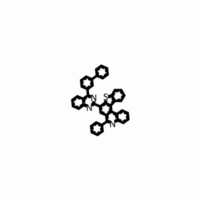 c1ccc(-c2cccc(-c3nc(-c4cc5c(-c6ccccc6)nc6ccccc6c5c5c4sc4ccccc45)nc4ccccc34)c2)cc1